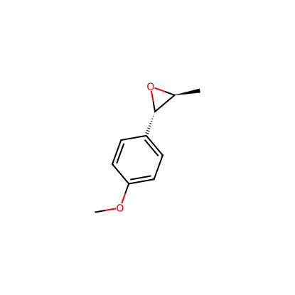 COc1ccc([C@@H]2O[C@H]2C)cc1